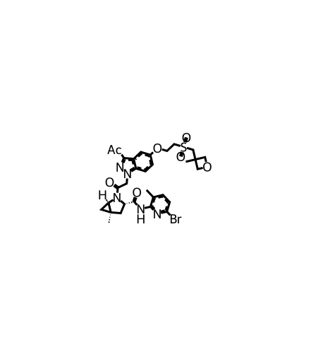 CC(=O)c1nn(CC(=O)N2[C@H](C(=O)Nc3nc(Br)ccc3C)C[C@@]3(C)C[C@@H]23)c2ccc(OCCS(=O)(=O)CC3(C)COC3)cc12